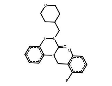 O=C1N(CC2CCOCC2)Sc2ccccc2N1Cc1c(F)cccc1Cl